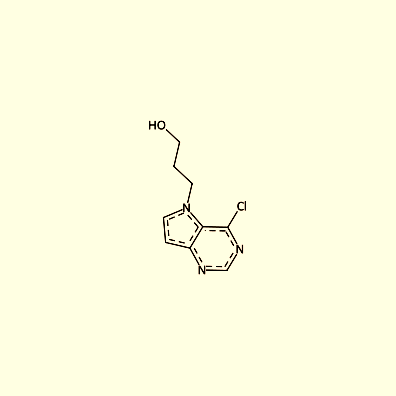 OCCCn1ccc2ncnc(Cl)c21